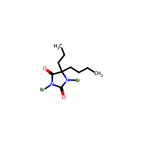 CCCCC1(CCC)C(=O)N(Br)C(=O)N1Br